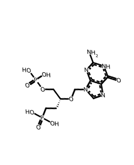 Nc1nc2c(ncn2CO[C@H](CCP(=O)(O)O)COP(=O)(O)O)c(=O)[nH]1